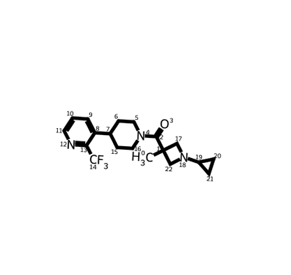 CC1(C(=O)N2CCC(c3cccnc3C(F)(F)F)CC2)CN(C2CC2)C1